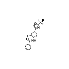 O=C(Nc1ccc(-c2noc(C(F)(F)F)n2)cc1F)c1ccccc1